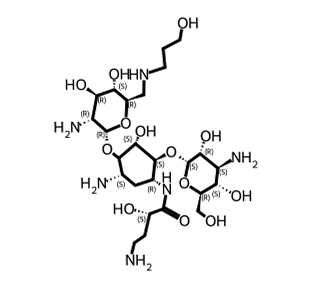 NCC[C@H](O)C(=O)N[C@@H]1C[C@H](N)C(O[C@H]2O[C@H](CNCCCO)[C@@H](O)[C@H](O)[C@H]2N)[C@H](O)[C@H]1O[C@H]1O[C@H](CO)[C@@H](O)[C@H](N)[C@H]1O